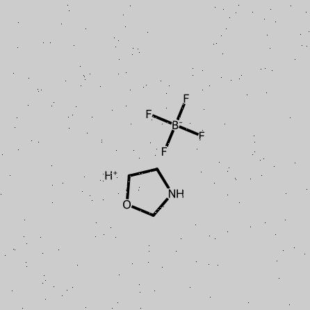 C1COCN1.F[B-](F)(F)F.[H+]